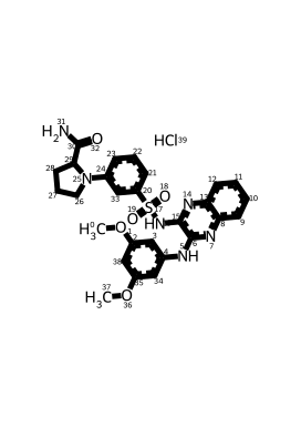 COc1cc(Nc2nc3ccccc3nc2NS(=O)(=O)c2cccc(N3CCCC3C(N)=O)c2)cc(OC)c1.Cl